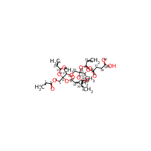 C=CC(=O)OCC(OC(=O)C=C)(OC(=O)C=C)C(C)OCC(OC(=O)C=C)(OC(=O)C=C)C(C)OC(=O)CCC(=O)O